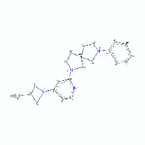 O=C(O)C1CN(c2ccnc(N3CCC4(CCN(c5ccccc5)C4)C3)c2)C1